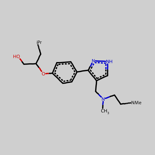 CNCCN(C)Cc1c[nH]nc1-c1ccc(OC(CO)CC(C)C)cc1